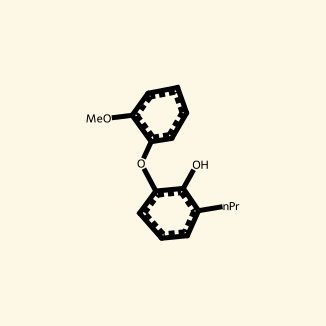 CCCc1cccc(Oc2ccccc2OC)c1O